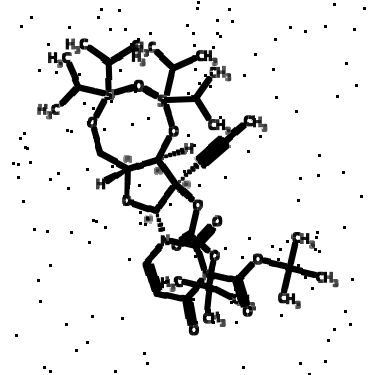 CC#C[C@@]1(OC(=O)OC(C)(C)C)[C@@H]2O[Si](C(C)C)(C(C)C)O[Si](C(C)C)(C(C)C)OC[C@H]2O[C@H]1n1ccc(=O)n(C(=O)OC(C)(C)C)c1=O